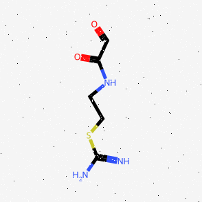 N=C(N)SCCNC(=O)C=O